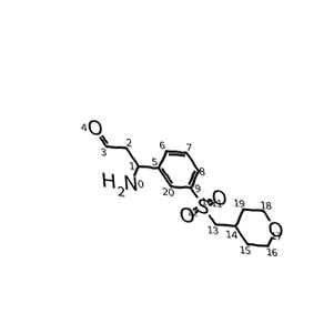 NC(CC=O)c1cccc(S(=O)(=O)CC2CCOCC2)c1